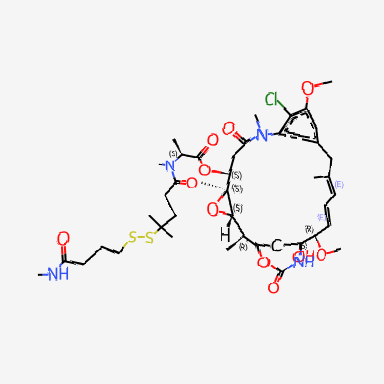 CNC(=O)CCCSSC(C)(C)CCC(=O)N(C)[C@@H](C)C(=O)O[C@H]1CC(=O)N(C)c2cc(cc(OC)c2Cl)C/C(C)=C/C=C/[C@@H](OC)[C@@]2(O)CC(OC(=O)N2)[C@@H](C)[C@@H]2O[C@@]12C